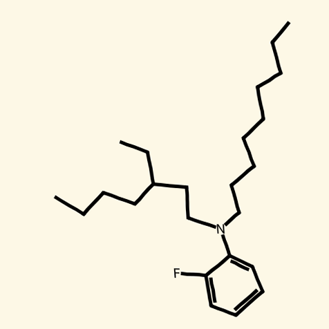 CCCCCCCCCN(CCC(CC)CCCC)c1ccccc1F